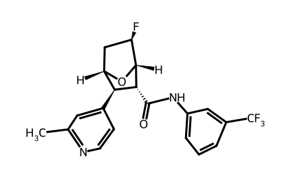 Cc1cc([C@@H]2[C@@H](C(=O)Nc3cccc(C(F)(F)F)c3)[C@@H]3O[C@H]2C[C@H]3F)ccn1